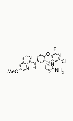 COc1cnc2c(Nc3ccc4c(c3)[C@@]3(CCSC(N)=N3)c3cc(Cl)nc(F)c3O4)nccc2c1